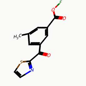 Cc1cc(C(=O)OF)cc(C(=O)c2nccs2)c1